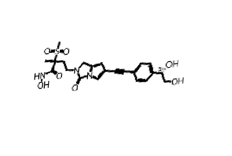 CC(CCN1Cc2cc(C#Cc3ccc([C@H](O)CO)cc3)cn2C1=O)(C(=O)NO)S(C)(=O)=O